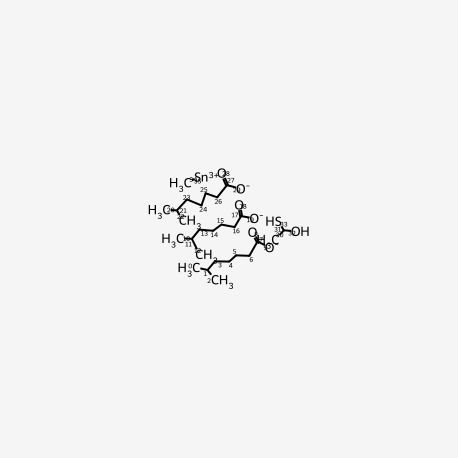 CC(C)CCCCC(=O)[O-].CC(C)CCCCC(=O)[O-].CC(C)CCCCC(=O)[O-].CC(O)S.[CH3][Sn+3]